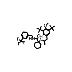 C=C(Cc1cc(C(C)(C)C)c(OC)c(C(C)(C)C)c1)NC1(C(=O)NCc2cccc(C(F)(F)F)c2)CCCCC1